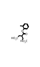 Cc1ccccc1OC(=O)C(CC(=O)O)CC(=O)O